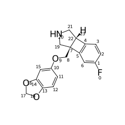 Fc1ccc2c(c1)[C@]1(COc3ccc4c(c3)OCO4)CNC[C@H]21